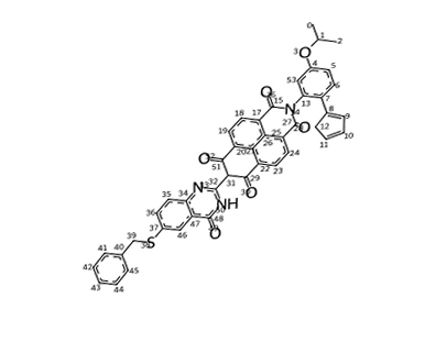 CC(C)Oc1ccc(C2=CC=CC2)c(N2C(=O)c3ccc4c5c(ccc(c35)C2=O)C(=O)C(c2nc3ccc(SCc5ccccc5)cc3c(=O)[nH]2)C4=O)c1